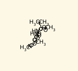 CC(=O)Oc1ccc(NC(=O)Nc2cc3ccc(OC4CCN(C)CC4)c(C)c3oc2=O)cc1CC=C(C)C